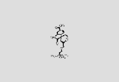 C[Si](C)(C)CCOCC1CC2(CCO1)C(=O)Nc1cc(C(=O)O)ccc12